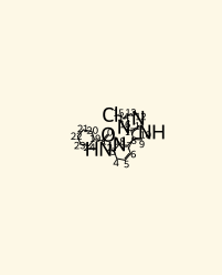 O=C(NC1CC=CC(c2c[nH]c3ncc(Cl)nc23)=N1)C1CCCCC1